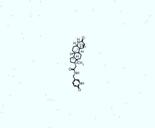 C[C@]12C=CC(=O)N[C@@H]1CC[C@@H]1[C@@H]2CC[C@]2(C)[C@@H](CC(=O)NCc3ccc(=O)[nH]c3)CC[C@@H]12